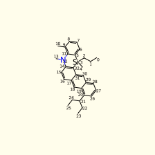 CCC[Si]1(C)c2cccc(C)c2N(C)c2ccc3cc4c(C(CC)CC)cccc4cc3c21